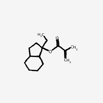 C=C(C)C(=O)OC1(CC)CCC2CCCCC21